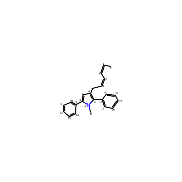 C/C=C\C=C/Cc1cc(-c2ccccc2)n(C)c1-c1ccccc1